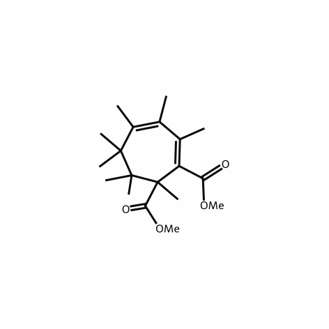 COC(=O)C1=C(C)C(C)=C(C)C(C)(C)C(C)(C)C1(C)C(=O)OC